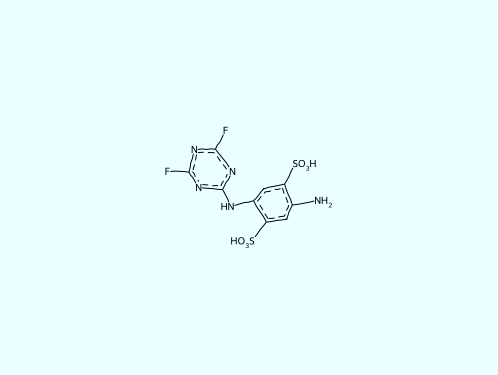 Nc1cc(S(=O)(=O)O)c(Nc2nc(F)nc(F)n2)cc1S(=O)(=O)O